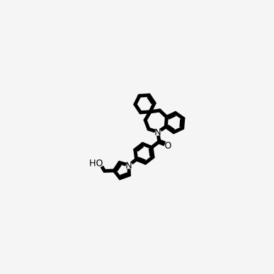 O=C(c1ccc(-n2ccc(CO)c2)cc1)N1CCC2(C=CCCC2)Cc2ccccc21